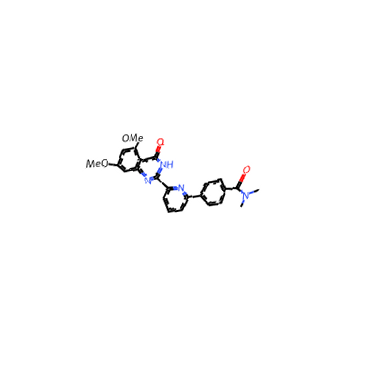 COc1cc(OC)c2c(=O)[nH]c(-c3cccc(-c4ccc(C(=O)N(C)C)cc4)n3)nc2c1